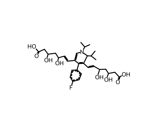 CC(C)C1C(C=CC(O)CC(O)CC(=O)O)=C(c2ccc(F)cc2)C(C=CC(O)CC(O)CC(=O)O)=CN1C(C)C